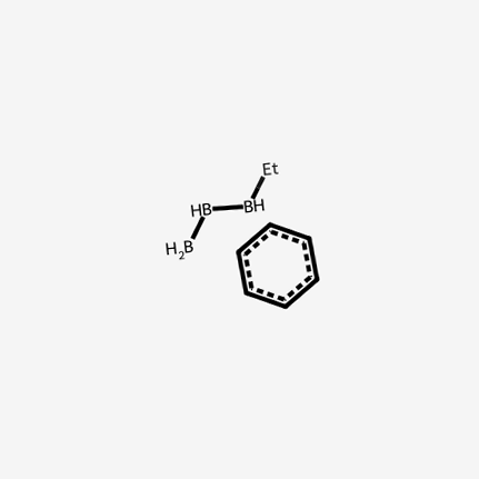 BBBCC.c1ccccc1